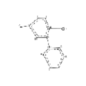 Cc1ccc(Cl)c(-c2[c]cccc2)c1